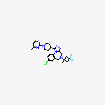 Cc1ccnc(N2CCC(c3nnc4n3-c3ccc(Cl)cc3CN(C3(C)CC(F)(F)C3)C4)CC2)n1